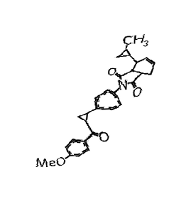 COc1ccc(C(=O)C2CC2c2ccc(N3C(=O)C4CC=CC([C@H]5C[C@H]5C)C4C3=O)cc2)cc1